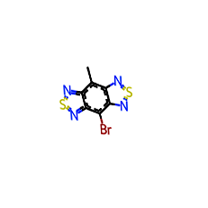 Cc1c2c(c(Br)c3nsnc13)N=S=N2